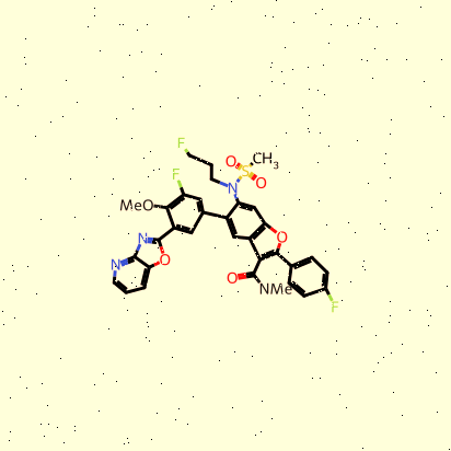 CNC(=O)c1c(-c2ccc(F)cc2)oc2cc(N(CCCF)S(C)(=O)=O)c(-c3cc(F)c(OC)c(-c4nc5ncccc5o4)c3)cc12